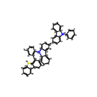 Cc1ccc(-n2c3ccccc3c3cc(-c4ccc5c(c4)c4ccccc4n5-c4ccccc4)ccc32)c(-c2cccc3c2sc2ccccc23)c1